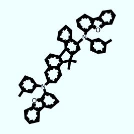 Cc1cccc(N(c2ccc3c4c(ccc3c2)-c2c(cc(N(c3cccc(C)c3)c3cccc5c3oc3ccccc35)c3ccccc23)C4(C)C)c2cccc3c2oc2ccccc23)c1